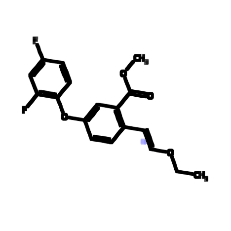 CCO/C=C/c1ccc(Oc2ccc(F)cc2F)cc1C(=O)OC